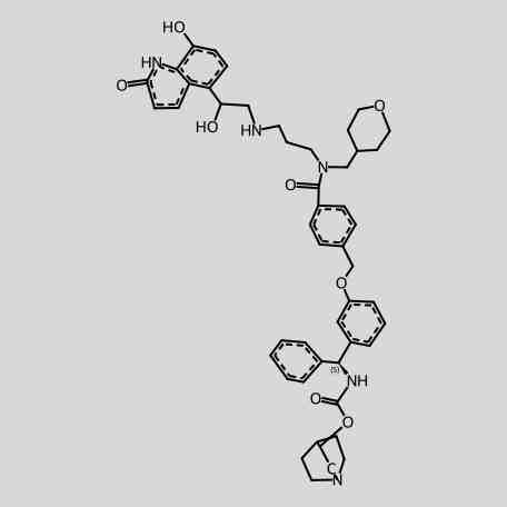 O=C(N[C@@H](c1ccccc1)c1cccc(OCc2ccc(C(=O)N(CCCNCC(O)c3ccc(O)c4[nH]c(=O)ccc34)CC3CCOCC3)cc2)c1)OC1CN2CCC1CC2